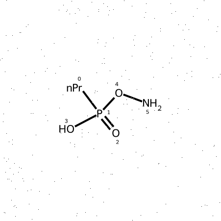 CCCP(=O)(O)ON